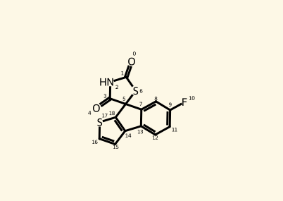 O=C1NC(=O)C2(S1)c1cc(F)ccc1-c1ccsc12